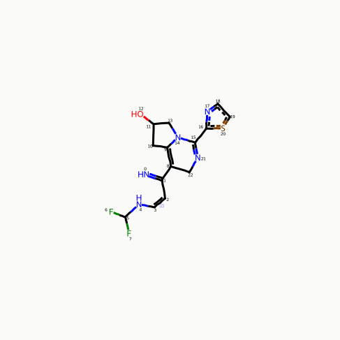 N=C(/C=C\NC(F)F)C1=C2CC(O)CN2C(c2nccs2)=NC1